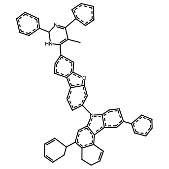 CC1=C(c2ccc3c(c2)oc2cc(-n4c5ccc(-c6ccccc6)cc5c5c6c(c(C7C=CC=CC7)cc54)CCC=C6)ccc23)NC(c2ccccc2)N=C1c1ccccc1